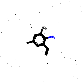 C=Cc1cc(C)cc([N+](=O)[O-])c1N